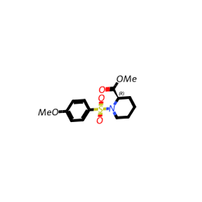 COC(=O)[C@H]1CCCCN1S(=O)(=O)c1ccc(OC)cc1